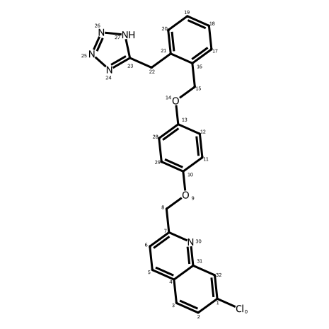 Clc1ccc2ccc(COc3ccc(OCc4ccccc4Cc4nnn[nH]4)cc3)nc2c1